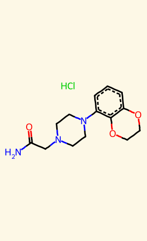 Cl.NC(=O)CN1CCN(c2cccc3c2OCCO3)CC1